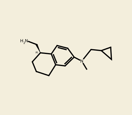 CN(CC1CC1)c1ccc2c(c1)CCC[C@H]2CN